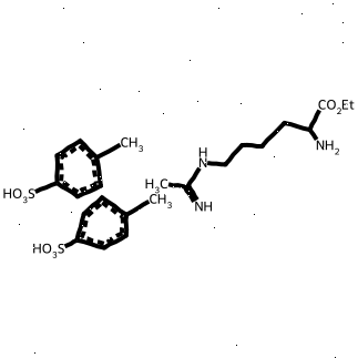 CCOC(=O)C(N)CCCCNC(C)=N.Cc1ccc(S(=O)(=O)O)cc1.Cc1ccc(S(=O)(=O)O)cc1